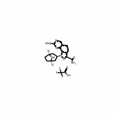 CSc1ncc2ccc3c(C(N)=O)nn([C@H]4C[C@H]5CC[C@@H](C4)N5)c3c2n1.O=C(O)C(F)(F)F